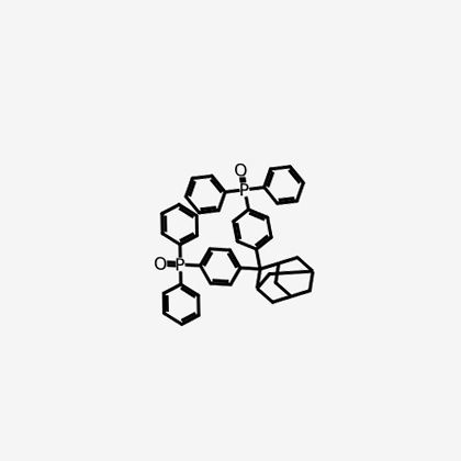 O=P(c1ccccc1)(c1ccccc1)c1ccc(C2(c3ccc(P(=O)(c4ccccc4)c4ccccc4)cc3)C3CC4CC(C3)CC2C4)cc1